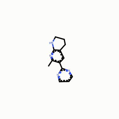 Cc1nc2c(cc1-c1ncccn1)CCCN2